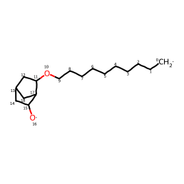 [CH2]CCCCCCCCCOC1CC2CC([O])C1C2